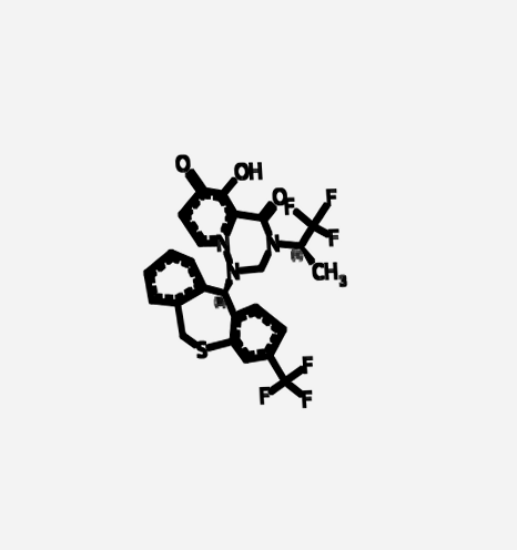 C[C@@H](N1CN([C@@H]2c3ccccc3CSc3cc(C(F)(F)F)ccc32)n2ccc(=O)c(O)c2C1=O)C(F)(F)F